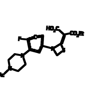 CCOC(=O)C(C(=O)O)=C1SCN1c1ccc(F)c(N2CCN(C(C)=O)CC2)c1